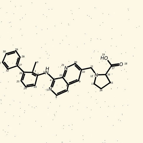 Cc1c(Nc2nccc3cc(CN4CCCC4C(=O)O)cnc23)cccc1-c1ccccc1